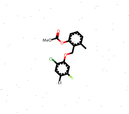 CCc1cc(Cl)c(OCc2c(C)cccc2OC(=O)OC)cc1F